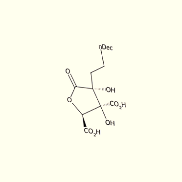 CCCCCCCCCCCC[C@]1(O)C(=O)O[C@H](C(=O)O)[C@@]1(O)C(=O)O